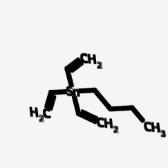 C=[CH][Sn]([CH]=C)([CH]=C)[CH2]CCC